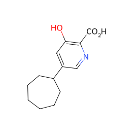 O=C(O)c1ncc(C2CCCCCC2)cc1O